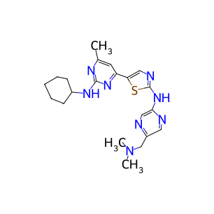 Cc1cc(-c2cnc(Nc3cnc(CN(C)C)cn3)s2)nc(NC2CCCCC2)n1